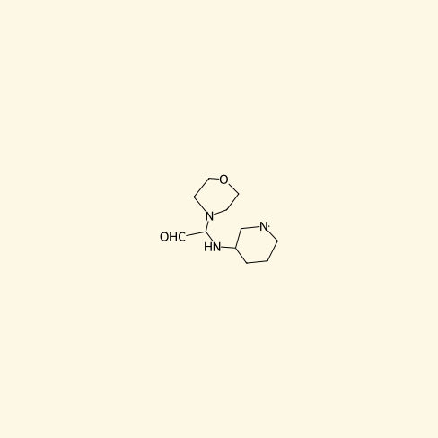 O=CC(NC1CCC[N]C1)N1CCOCC1